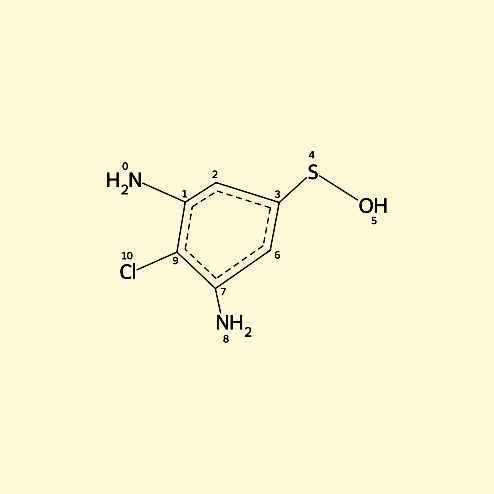 Nc1cc(SO)cc(N)c1Cl